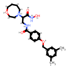 Cc1cc(C)cc(COc2ccc(C(=O)NCC(C(=O)NO)N3CCCCOCC3)cc2)c1